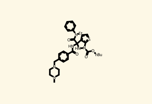 CCCCOC(=O)N1NC(NC(=O)c2ccc(CN3CCN(C)CC3)cc2)(C(=O)N(CC)c2ccccc2)c2ccsc21